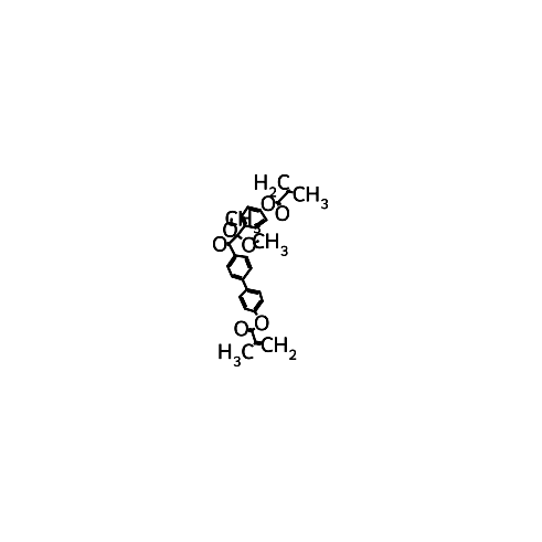 C=C(C)C(=O)Oc1ccc(-c2ccc(C(=O)C(OC)(OC)c3ccc(OC(=O)C(=C)C)cc3)cc2)cc1